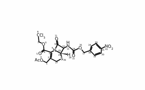 CC(=O)OCC1=C(C(=O)OCC(Cl)(Cl)Cl)N2C(=O)C(NC(=O)OCc3ccc([N+](=O)[O-])cc3)[C@@H]2SC1